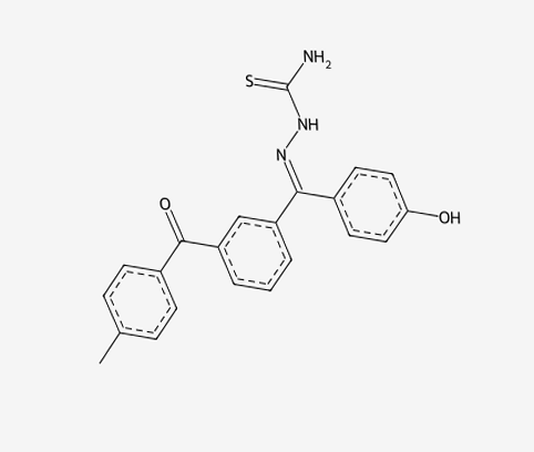 Cc1ccc(C(=O)c2cccc(C(=NNC(N)=S)c3ccc(O)cc3)c2)cc1